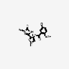 COc1ccc(Cl)cc1C(=O)Nc1c[nH]nc1-c1nn(C(C)C)c(=O)[nH]1